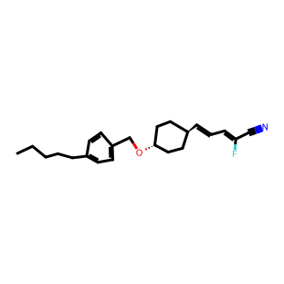 CCCCCc1ccc(CO[C@H]2CC[C@H](C=CC=C(F)C#N)CC2)cc1